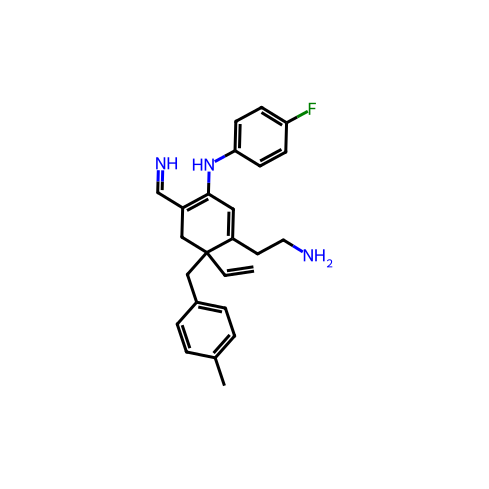 C=CC1(Cc2ccc(C)cc2)CC(C=N)=C(Nc2ccc(F)cc2)C=C1CCN